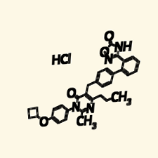 CCCc1nc(C)n(-c2ccc(OC3CCC3)cc2)c(=O)c1Cc1ccc(-c2ccccc2-c2noc(=O)[nH]2)cc1.Cl